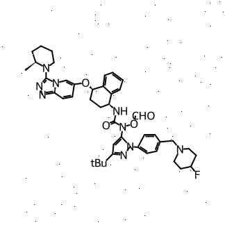 C[C@H]1CCCCN1c1nnc2ccc(O[C@@H]3CC[C@H](NC(=O)N(OC=O)c4cc(C(C)(C)C)nn4-c4ccc(CN5CCC(F)CC5)cc4)c4ccccc43)cn12